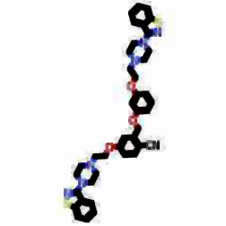 N#Cc1ccc(OCCN2CCN(c3nsc4ccccc34)CC2)cc1COc1cccc(OCCN2CCN(c3nsc4ccccc34)CC2)c1